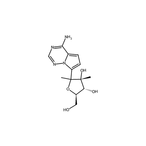 CC1(c2ccc3c(N)ncnn23)O[C@H](CO)[C@@H](O)[C@@]1(C)O